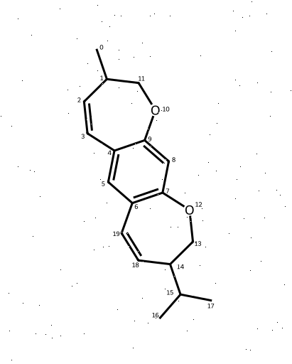 CC1C=Cc2cc3c(cc2OC1)OCC(C(C)C)C=C3